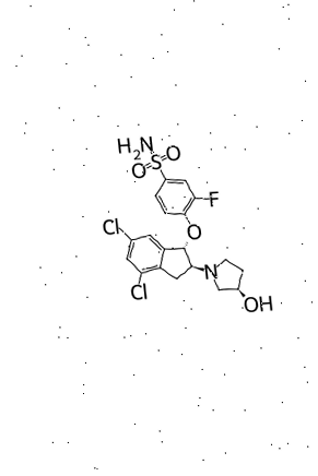 NS(=O)(=O)c1ccc(O[C@H]2c3cc(Cl)cc(Cl)c3C[C@@H]2N2CC[C@@H](O)C2)c(F)c1